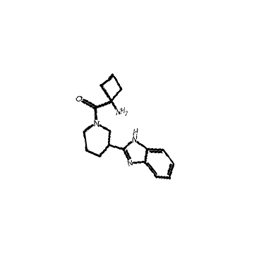 NC1(C(=O)N2CCCC(c3nc4ccccc4[nH]3)C2)CCC1